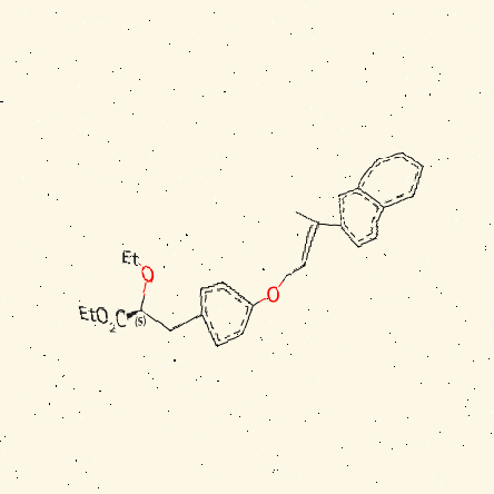 CCOC(=O)[C@H](Cc1ccc(OCC=C(C)c2ccc3ccccc3c2)cc1)OCC